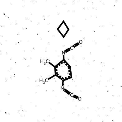 C1CCC1.Cc1c(N=C=O)ccc(N=C=O)c1C